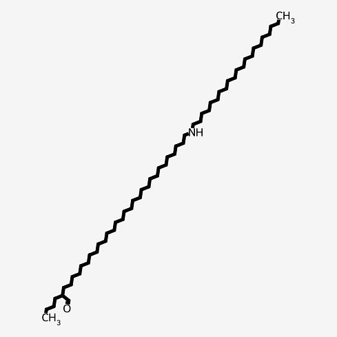 CCCCCCCCCCCCCCCCCCCCCNCCCCCCCCCCCCCCCCCCCCCCCCCCCCCC(C=O)CCCC